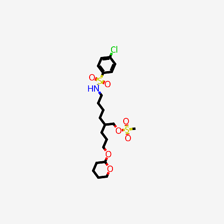 CS(=O)(=O)OCC(CCCCNS(=O)(=O)c1ccc(Cl)cc1)CCCOC1CCCCO1